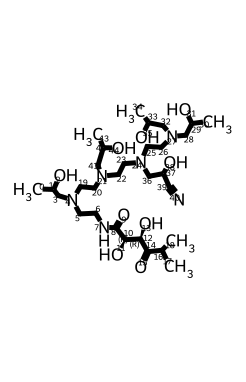 CC(O)CN(CCNC(=O)[C@H](O)[C@@H](O)C(=O)C(C)C)CCN(CCN(CCN(CC(C)O)CC(C)O)CC(O)C#N)CC(C)O